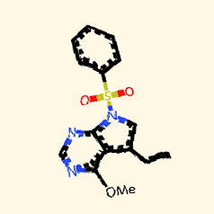 C=Cc1cn(S(=O)(=O)c2ccccc2)c2ncnc(OC)c12